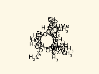 C=CCOC(=O)N1C[C@H](C)C[C@@](C)(O)[C@H](O[C@@H]2O[C@H](C)C[C@H](N(C)C)[C@H]2O)[C@@H](C)[C@H](O[C@H]2C[C@@](C)(OC)[C@@H](OS(=O)(=O)C=C)[C@H](C)O2)[C@@H](C)C(=O)O[C@H](CC)[C@@](C)(O)[C@H](O)[C@H]1C